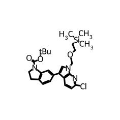 CC(C)(C)OC(=O)N1CCc2ccc(-c3cn(COCC[Si](C)(C)C)c4nc(Cl)ccc34)cc21